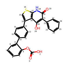 O=C(O)Oc1ccccc1-c1ccc(-c2csc3[nH]c(=O)c(-c4ccccc4)c(O)c23)cc1